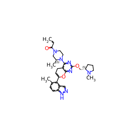 C=CC(=O)N1CCN(c2nc(OC[C@@H]3CCCN3C)nc3c2CC=C(c2c(C)ccc4[nH]ncc24)O3)[C@@H](C)C1